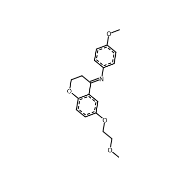 COCCOc1ccc2c(c1)/C(=N/c1ccc(OC)cc1)CCO2